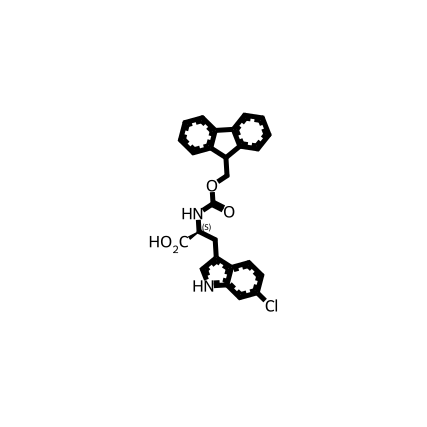 O=C(N[C@@H](Cc1c[nH]c2cc(Cl)ccc12)C(=O)O)OCC1c2ccccc2-c2ccccc21